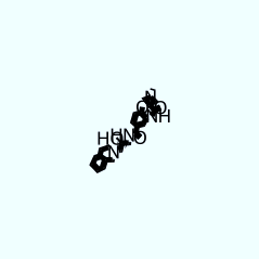 CN1CC2(C1)Oc1ccc(C(=O)NC[C@H](O)CN3CCc4ccccc4C3)cc1NC2=O